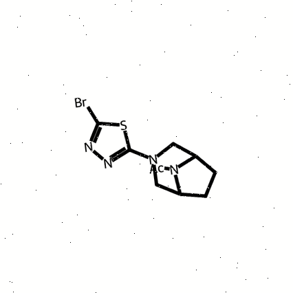 CC(=O)N1C2CCC1CN(c1nnc(Br)s1)C2